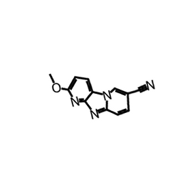 COc1ccc2c(n1)nc1ccc(C#N)cn12